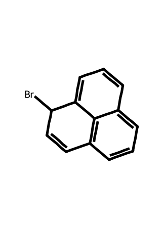 BrC1C=Cc2cccc3cccc1c23